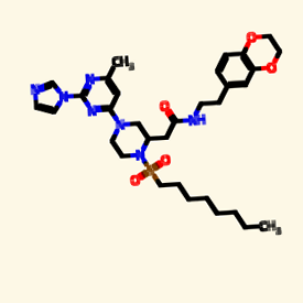 CCCCCCCCS(=O)(=O)N1CCN(c2cc(C)nc(-n3ccnc3)n2)CC1CC(=O)NCCc1ccc2c(c1)OCCO2